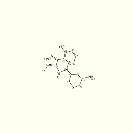 Cc1[nH]nc2c1c(=O)n(C1CCCC(N)C1)c1cccc(Cl)c21